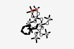 C[Si](C)(C)O[Si](C=Cc1ccccc1)(O[Si](O[Si](C)(C)C)(O[Si](C)(C)C)O[Si](C)(C)C)O[Si](O[Si](C)(C)C)(O[Si](C)(C)C)O[Si](C)(C)C